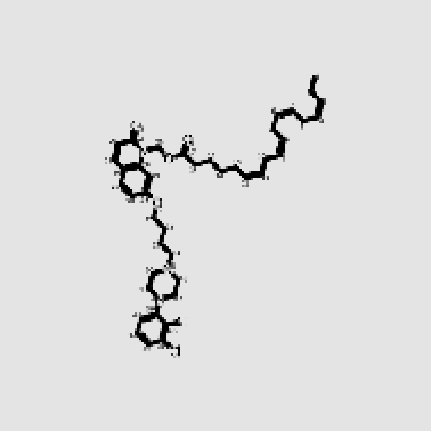 CC/C=C\C/C=C\C/C=C\C/C=C\CCCCC(=O)OCn1c(=O)ccc2ccc(OCCCCN3CCN(c4cccc(Cl)c4Cl)CC3)cc21